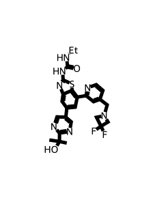 CCNC(=O)Nc1nc2cc(-c3cnc(C(C)(C)O)nc3)cc(-c3cc(CN4CC(F)(F)C4)ccn3)c2s1